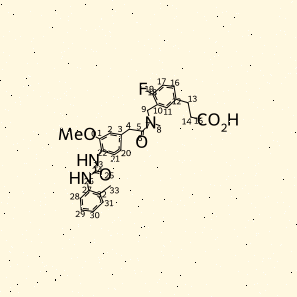 COc1cc(CC(=O)N(C)Cc2cc(CCC(=O)O)ccc2F)ccc1NC(=O)Nc1ccccc1C